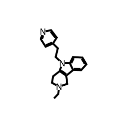 CCN1CCc2c(c3ccccc3n2CCc2ccncc2)C1